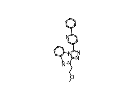 COCCN(C)c1nnc(-c2ccc(-c3ccccc3)nc2)n1-c1ccccc1C#N